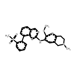 COc1nc2c(cc1Nc1ncc3cccc(-c4ccccc4S(C)(=O)=O)c3n1)CN(C)CC2